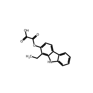 CCc1c(OC(=O)C(=O)O)ccc2c1[nH]c1ccccc12